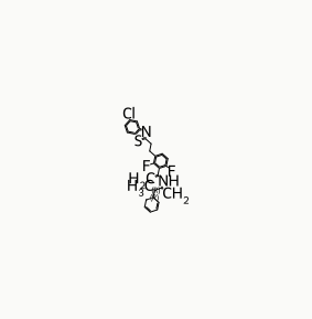 C=C(NC(=C)[C@H](C)[C@H]1C=CC=CC1)c1c(F)ccc(CCc2nc3cc(Cl)ccc3s2)c1F